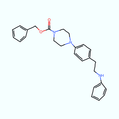 O=C(OCc1ccccc1)N1CCN(c2ccc(CCNc3ccccc3)cc2)CC1